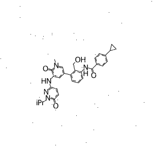 CC(C)n1nc(Nc2cc(-c3cccc(NC(=O)c4ccc(C5CC5)cc4)c3CO)cn(C)c2=O)ccc1=O